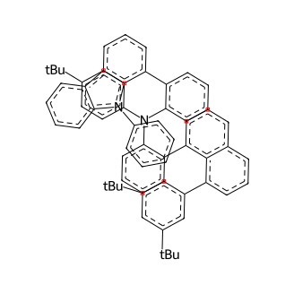 CC(C)(C)c1ccc(N(c2ccccc2-c2cccc3cccc(-c4cc(C(C)(C)C)cc(C(C)(C)C)c4)c23)c2ccccc2-c2cccc3c4ccccc4n(-c4ccccc4)c23)cc1